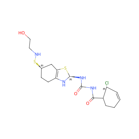 O=C(NC(=O)C1CCC=C[C@H]1Cl)N[C@H]1NC2=C(C[C@H](SNCCO)CC2)S1